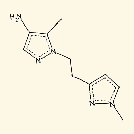 Cc1c(N)cnn1CCc1ccn(C)n1